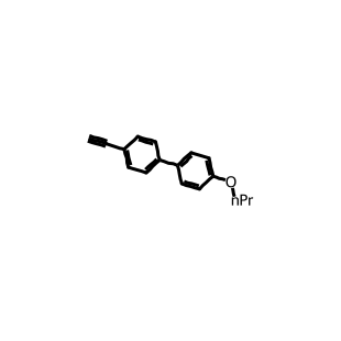 C#Cc1ccc(-c2ccc(OCCC)cc2)cc1